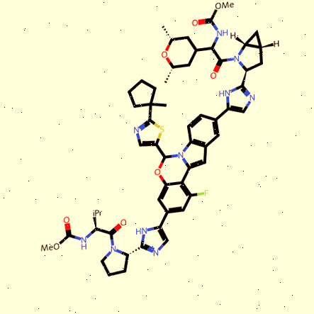 COC(=O)NC(C(=O)N1[C@@H]2C[C@@H]2C[C@H]1c1ncc(-c2ccc3c(c2)cc2n3C(c3cnc(C4(C)CCCC4)s3)Oc3cc(-c4cnc([C@@H]5CCCN5C(=O)[C@@H](NC(=O)OC)C(C)C)[nH]4)cc(F)c3-2)[nH]1)C1C[C@@H](C)O[C@@H](C)C1